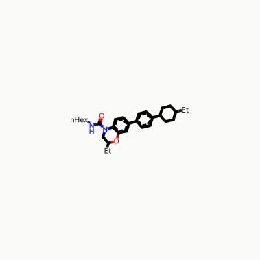 CCCCCCNC(=O)N1CC(CC)Oc2cc(-c3ccc(C4CCC(CC)CC4)cc3)ccc21